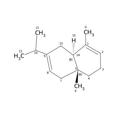 CC1=CCC[C@]2(C)CC=C(C(C)C)C[C@@H]12